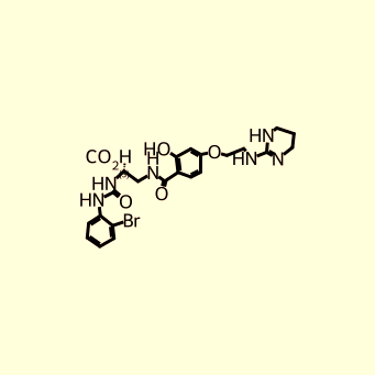 O=C(Nc1ccccc1Br)N[C@@H](CNC(=O)c1ccc(OCCNC2=NCCCN2)cc1O)C(=O)O